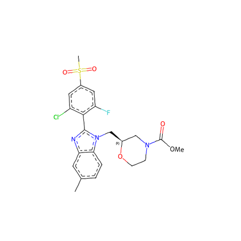 COC(=O)N1CCO[C@@H](Cn2c(-c3c(F)cc(S(C)(=O)=O)cc3Cl)nc3cc(C)ccc32)C1